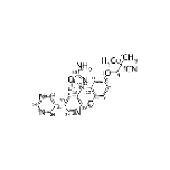 CC(C)(C#N)COc1ccc2c(c1)[C@@]1(COC(N)=N1)c1cc(-c3cncnc3)cnc1O2